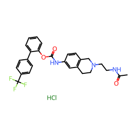 CC(=O)NCCN1CCc2cc(NC(=O)Oc3ccccc3-c3ccc(C(F)(F)F)cc3)ccc2C1.Cl